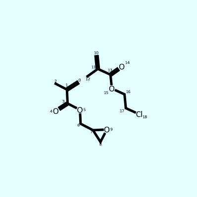 C=C(C)C(=O)OCC1CO1.C=C(C)C(=O)OCCCl